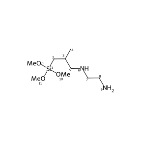 CO[Si](CC(C)CNCCN)(OC)OC